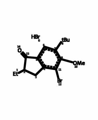 Br.CCC1Cc2c(cc(C(C)(C)C)c(OC)c2Br)C1=O